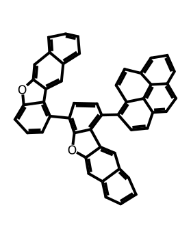 c1ccc2cc3c(cc2c1)oc1cccc(-c2ccc(-c4ccc5ccc6cccc7ccc4c5c67)c4c2oc2cc5ccccc5cc24)c13